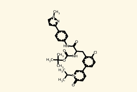 CC(C)n1cc(-c2ccc(Cl)c(CC(NC(=O)OC(C)(C)C)C(=O)Nc3ccc(-c4ccn(C)n4)cc3)c2)ccc1=O